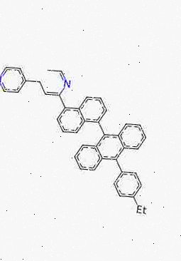 C/C=N\C(=C/Cc1ccncc1)c1cccc2c(-c3c4ccccc4c(-c4ccc(CC)cc4)c4ccccc34)cccc12